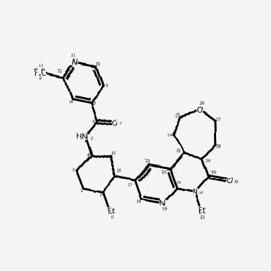 CCC1CCC(NC(=O)c2ccnc(C(F)(F)F)c2)CC1c1cnc2c(c1)C1CCOCCC1C(=O)N2CC